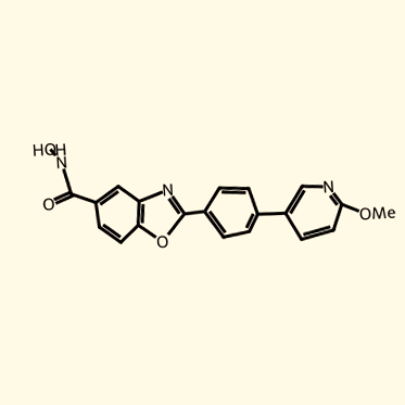 COc1ccc(-c2ccc(-c3nc4cc(C(=O)NO)ccc4o3)cc2)cn1